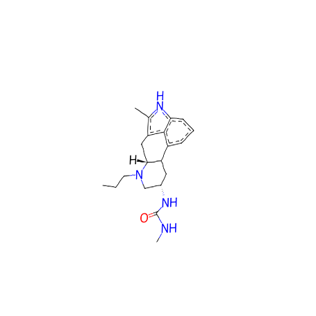 CCCN1C[C@@H](NC(=O)NC)CC2c3cccc4[nH]c(C)c(c34)C[C@H]21